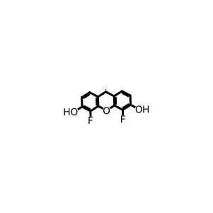 Oc1ccc2c(c1F)Oc1c(ccc(O)c1F)[CH]2